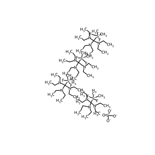 CCN(CC)C(N(CC)CC)(N(CC)CC)[S+](C)(C)(F)F.CCN(CC)C(N(CC)CC)(N(CC)CC)[S+](C)(C)(F)F.CCN(CC)C(N(CC)CC)(N(CC)CC)[S+](C)(C)(F)F.CCN(CC)C(N(CC)CC)(N(CC)CC)[S+](C)(C)(F)F.[O-][Si]([O-])([O-])[O-]